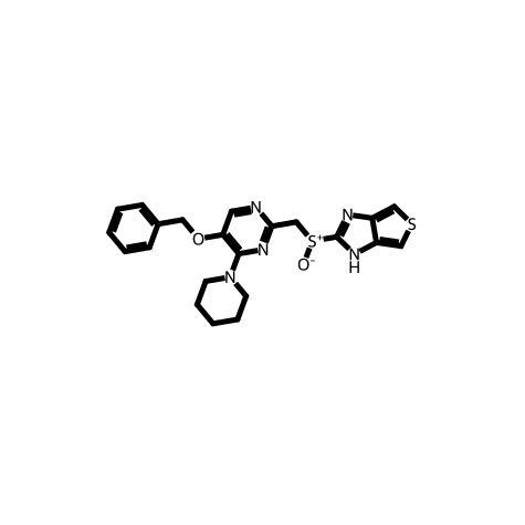 [O-][S+](Cc1ncc(OCc2ccccc2)c(N2CCCCC2)n1)c1nc2cscc2[nH]1